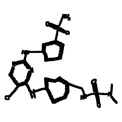 CN(C)S(=O)(=O)NCc1ccc(Nc2nc(Nc3cccc(S(N)(=O)=O)c3)ncc2Cl)cc1